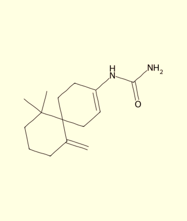 C=C1CCCC(C)(C)C12CC=C(NC(N)=O)CC2